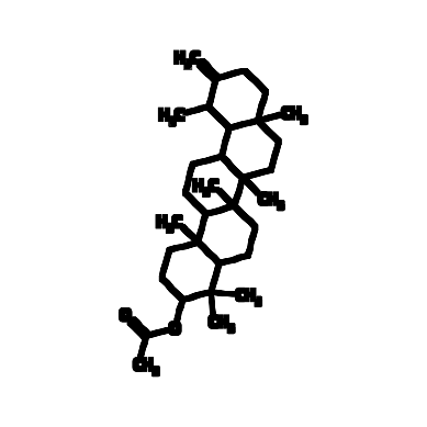 C=C1CCC2(C)CCC3(C)C(CCC4C5(C)CCC(OC(C)=O)C(C)(C)C5CCC43C)C2C1C